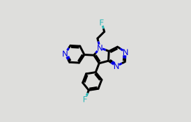 FCCn1c(-c2ccncc2)c(-c2ccc(F)cc2)c2ncncc21